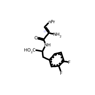 CCC/C=C(\N)C(=O)NC(Cc1ccc(F)c(F)c1)C(=O)O